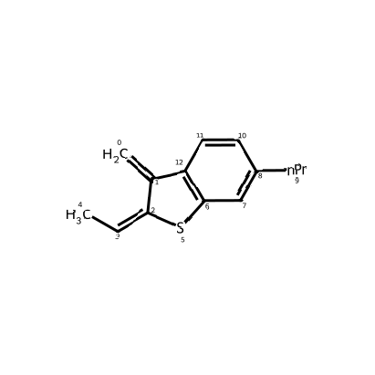 C=c1/c(=C\C)sc2cc(CCC)ccc12